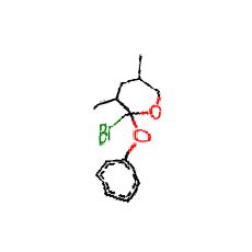 CC1COC(Br)(Oc2ccccc2)C(C)C1